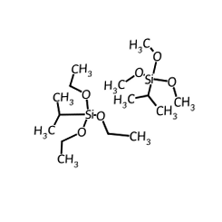 CCO[Si](OCC)(OCC)C(C)C.CO[Si](OC)(OC)C(C)C